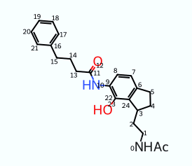 CC(=O)NCCC1CCc2ccc(NC(=O)CCCc3ccccc3)c(O)c21